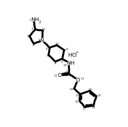 Cl.NC1CCN(C2CCC(NC(=O)OCc3ccccc3)CC2)C1